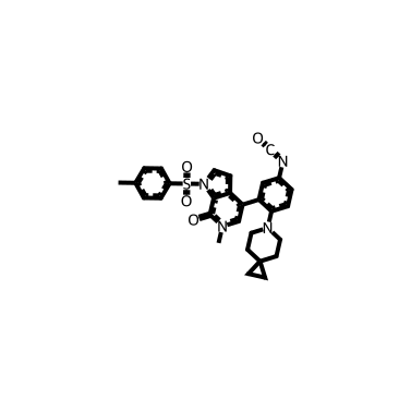 Cc1ccc(S(=O)(=O)n2ccc3c(-c4cc(N=C=O)ccc4N4CCC5(CC4)CC5)cn(C)c(=O)c32)cc1